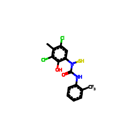 Cc1c(Cl)cc(N(S)C(=O)Nc2ccccc2C(F)(F)F)c(O)c1Cl